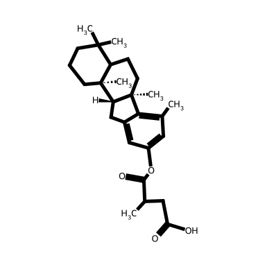 Cc1cc(OC(=O)C(C)CC(=O)O)cc2c1[C@]1(C)CCC3C(C)(C)CCC[C@]3(C)[C@H]1C2